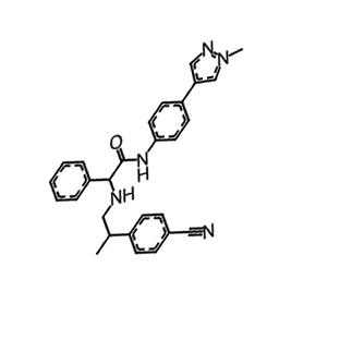 CC(CNC(C(=O)Nc1ccc(-c2cnn(C)c2)cc1)c1ccccc1)c1ccc(C#N)cc1